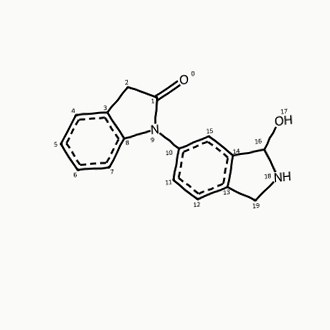 O=C1Cc2ccccc2N1c1ccc2c(c1)C(O)NC2